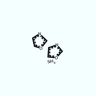 [SiH4].c1cocn1.c1cocn1